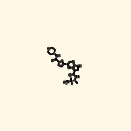 C[C@H](NC(=O)c1c[nH]c2ncc(-c3ccc(C(=O)NC4CCOCC4)s3)nc12)C(C)(C)N